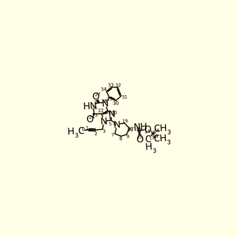 CC#CCn1c(N2CCC[C@@H](NC(=O)OC(C)(C)C)C2)nc2c1c(=O)[nH]c(=O)n2-c1ccccc1